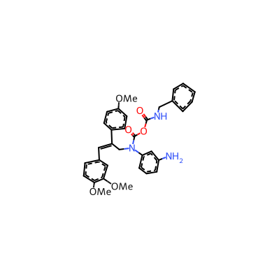 COc1ccc(C(=Cc2ccc(OC)c(OC)c2)CN(C(=O)OC(=O)NCc2ccccc2)c2cccc(N)c2)cc1